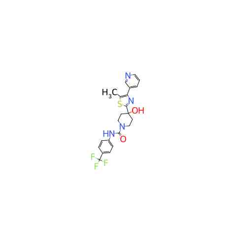 Cc1sc(C2(O)CCN(C(=O)Nc3ccc(C(F)(F)F)cc3)CC2)nc1-c1cccnc1